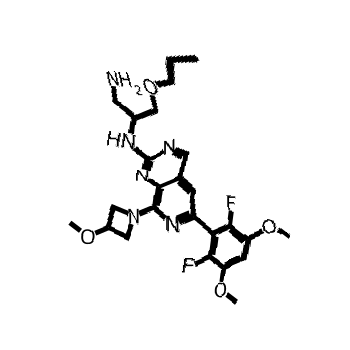 CCCOCC(CN)Nc1ncc2cc(-c3c(F)c(OC)cc(OC)c3F)nc(N3CC(OC)C3)c2n1